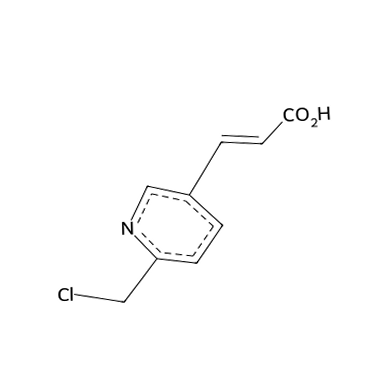 O=C(O)C=Cc1ccc(CCl)nc1